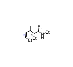 C=C(/C=C\CC)[C@@H](CC)C(CC)NCC